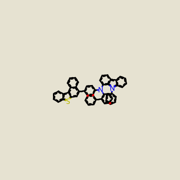 c1ccc(-c2ccccc2N(c2ccc(-c3cc4sc5ccccc5c4c4ccccc34)cc2)c2cccc3c4ccccc4n(-c4ccccc4)c23)cc1